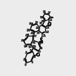 c1ccc2c(c1)oc1cc3sc4cc5oc6ccccc6c5c5cccc(c6cccc(c12)c36)c45